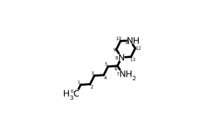 CCCCCCC(N)N1CCNCC1